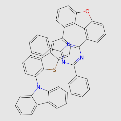 c1ccc(-c2nc(-c3ccccc3)nc(-c3cccc4oc5cccc(-c6ccc7sc8c(-n9c%10ccccc%10c%10ccccc%109)cccc8c7c6)c5c34)n2)cc1